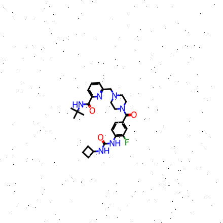 CC(C)(C)NC(=O)c1cccc(CN2CCN(C(=O)c3ccc(NC(=O)NC4CCC4)c(F)c3)CC2)n1